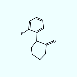 O=C1CCCCC1c1ccccc1F